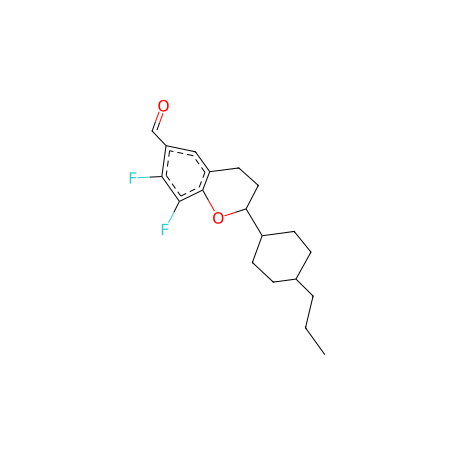 CCCC1CCC(C2CCc3cc(C=O)c(F)c(F)c3O2)CC1